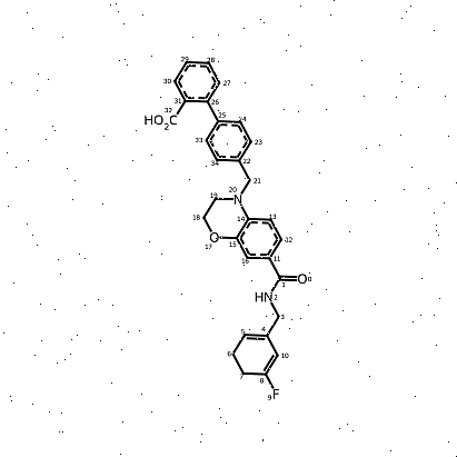 O=C(NCC1=CCCC(F)=C1)c1ccc2c(c1)OCCN2Cc1ccc(-c2ccccc2C(=O)O)cc1